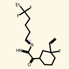 C=CC1(F)CCCC(C(=O)C(=N)/N=C/CCCC(F)(F)CC)C1